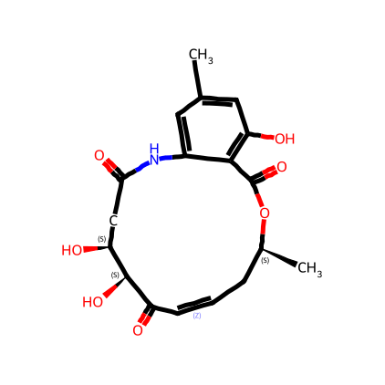 Cc1cc(O)c2c(c1)NC(=O)C[C@H](O)[C@H](O)C(=O)/C=C\C[C@H](C)OC2=O